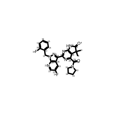 CC1(C)C(=O)Nc2nc(-c3nn(Cc4ccccc4F)c4ncc(F)cc34)nc(C(=O)N3CCCC3)c21